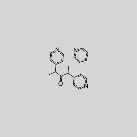 CC(C(=O)C(C)c1ccncc1)c1ccncc1.c1ccncc1